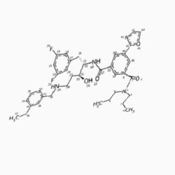 CCCN(CCC)C(=O)c1cc(C(=O)N[C@@H](Cc2cc(F)cc(F)c2)[C@@H](O)CCNCc2cccc(CC)c2)cc(-c2ncco2)c1